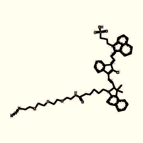 CC1(C)c2c(ccc3ccccc23)N(CCCCCC(=O)NCCOCCOCCOCCN=[N+]=[N-])C1/C=C/C1=C(Cl)C(=C/C=c2\c3cccc4cccc(c43)n2CCCS(=O)(=O)O)/c2ccccc21